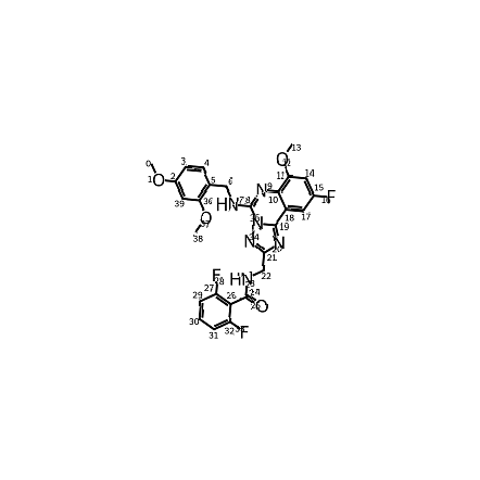 COc1ccc(CNc2nc3c(OC)cc(F)cc3c3nc(CNC(=O)c4c(F)cccc4F)nn23)c(OC)c1